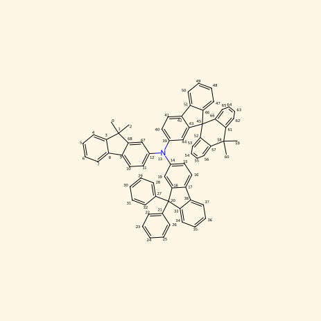 CC1(C)c2ccccc2-c2ccc(N(c3ccc4c(c3)C(c3ccccc3)(c3ccccc3)c3ccccc3-4)c3ccc4c(c3)C3(c5ccccc5-4)c4ccccc4C(C)(C)c4ccccc43)cc21